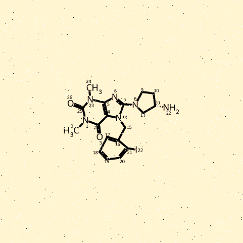 Cn1c(=O)c2c(nc(N3CC[C@H](N)C3)n2Cc2ccccc2I)n(C)c1=O